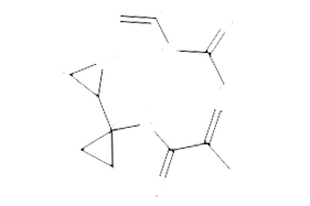 C=C(C)C(=O)OC1(C2CO2)CC1.C=COC(C)=O